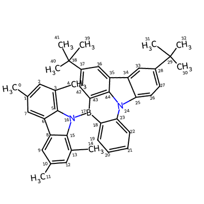 Cc1cc(C)c2c(c1)c1cc(C)cc(C)c1n2B1c2ccccc2-n2c3ccc(C(C)(C)C)cc3c3cc(C(C)(C)C)cc1c32